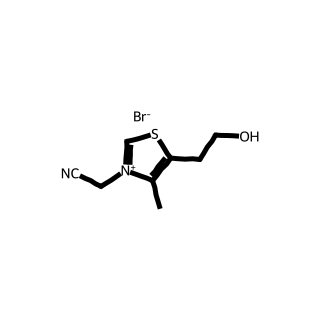 Cc1c(CCO)sc[n+]1CC#N.[Br-]